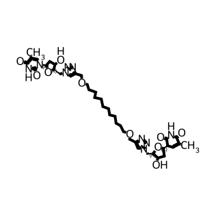 CC1=CC([C@H]2CC(O)[C@@H](Cn3cc(COCCCCCCCCCCCCOCc4cn(C[C@H]5O[C@@H](n6cc(C)c(=O)[nH]c6=O)CC5O)nn4)nn3)O2)C(=O)NC1=O